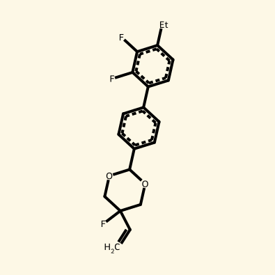 C=CC1(F)COC(c2ccc(-c3ccc(CC)c(F)c3F)cc2)OC1